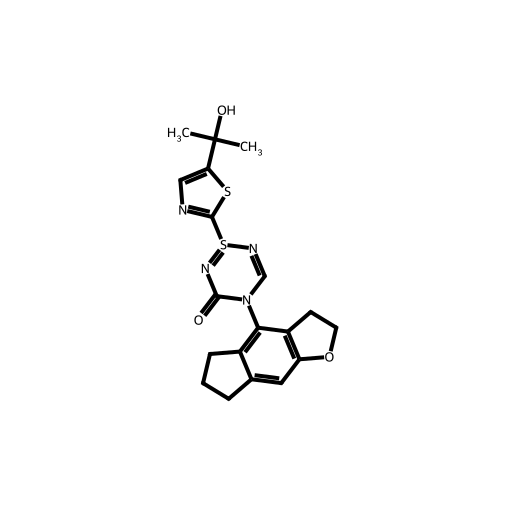 CC(C)(O)c1cnc(S2=NC(=O)N(c3c4c(cc5c3CCO5)CCC4)C=N2)s1